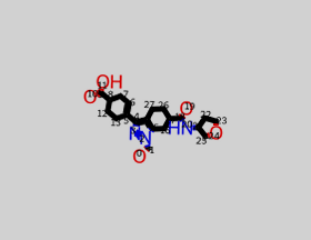 O=Cn1nc(C2=CCC(C(=O)O)CC2)c2c1CC(C(=O)NC1CCOC1)CC2